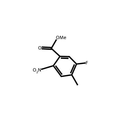 COC(=O)c1cc(F)c(C)cc1[N+](=O)[O-]